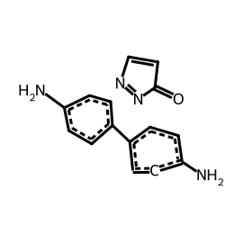 Nc1ccc(-c2ccc(N)cc2)cc1.O=C1C=CN=N1